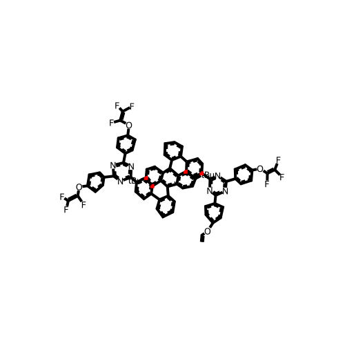 C=COc1ccc(-c2nc(-c3ccc(OC(F)=C(F)F)cc3)nc(-c3ccc(-c4ccccc4-c4c5ccc(C(C)(C)C)cc5c(-c5ccccc5-c5ccc(-c6nc(-c7ccc(OC(F)=C(F)F)cc7)nc(-c7ccc(OC(F)=C(F)F)cc7)n6)cc5)c5ccc(C(C)(C)C)cc45)cc3)n2)cc1